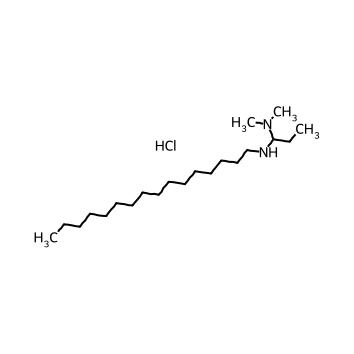 CCCCCCCCCCCCCCCCNC(CC)N(C)C.Cl